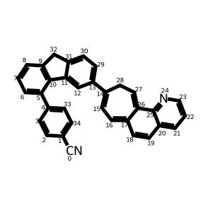 N#Cc1ccc(-c2cccc3c2-c2cc(C4=CC=c5ccc6cccnc6c5=CC4)ccc2C3)cc1